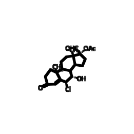 CC(=O)O[C@]1(C=O)CCC2C3C(CC[C@@]21C)[C@@]1(C)CCC(=O)C=C1[C@H](Cl)[C@H]3O